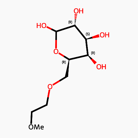 COCCOC[C@H]1OC(O)[C@H](O)[C@@H](O)[C@H]1O